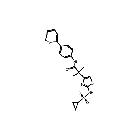 CC(C)(C(=O)Nc1ccc(-c2cccnn2)cc1)c1csc(NS(=O)(=O)C2CC2)n1